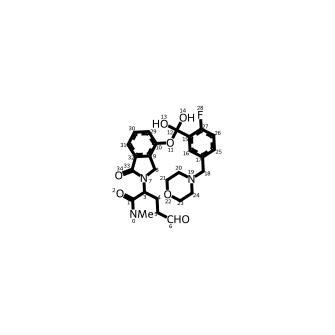 CNC(=O)C(CCC=O)N1Cc2c(OC(O)(O)c3cc(CN4CCOCC4)ccc3F)cccc2C1=O